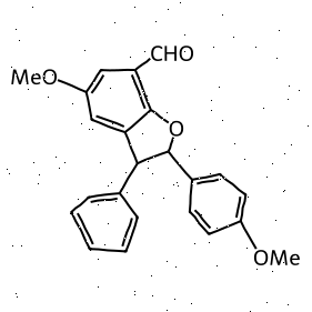 COc1ccc(C2Oc3c(C=O)cc(OC)cc3C2c2ccccc2)cc1